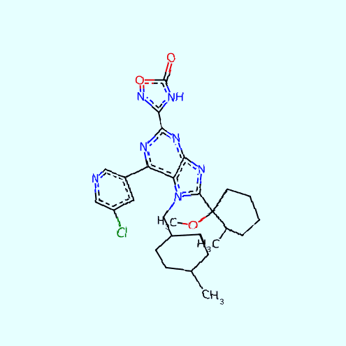 COC1(c2nc3nc(-c4noc(=O)[nH]4)nc(-c4cncc(Cl)c4)c3n2CC2CCC(C)CC2)CCCCC1C